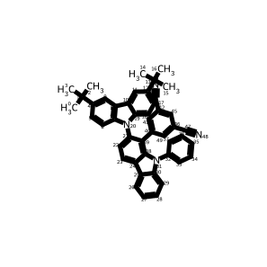 CC(C)(C)c1ccc2c(c1)c1cc(C(C)(C)C)ccc1n2-c1ccc2c3ccccc3n(-c3ccccc3)c2c1-c1cc(C#N)cc(C#N)c1